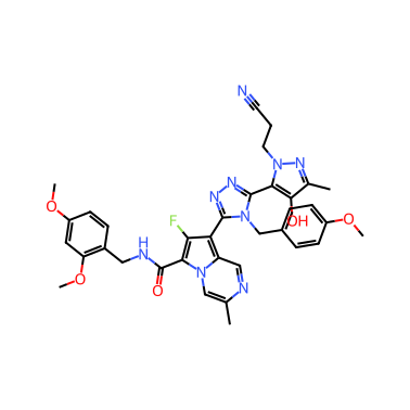 COc1ccc(Cn2c(-c3c(F)c(C(=O)NCc4ccc(OC)cc4OC)n4cc(C)ncc34)nnc2-c2c(O)c(C)nn2CCC#N)cc1